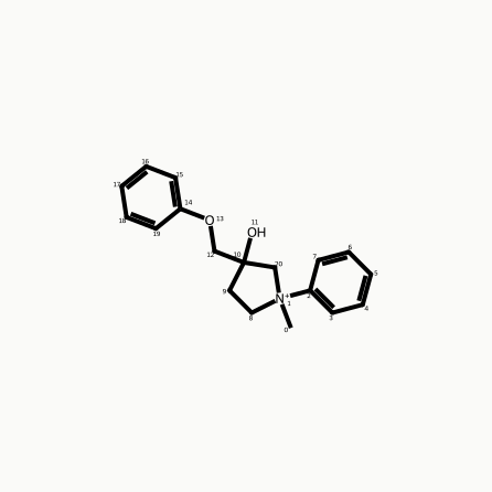 C[N+]1(c2ccccc2)CCC(O)(COc2ccccc2)C1